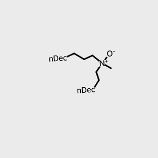 CCCCCCCCCCCCC[N+](C)([O-])CCCCCCCCCCCC